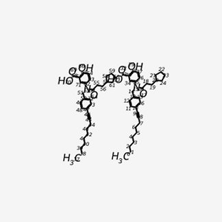 CCCCCCCCC#Cc1ccc(CN(C(=O)CCC2CCCC2)c2ccc(O)c(C(=O)O)c2)cc1.CCCCCCCCC#Cc1ccc(CN(C(=O)CCC2CCCC2)c2ccc(O)c(C(=O)O)c2)cc1